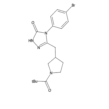 CC(C)(C)C(=O)N1CCC(Cc2n[nH]c(=O)n2-c2ccc(Br)cc2)C1